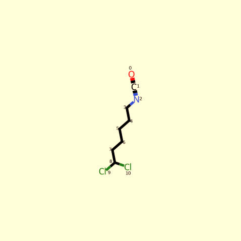 O=C=NCCCCCC(Cl)Cl